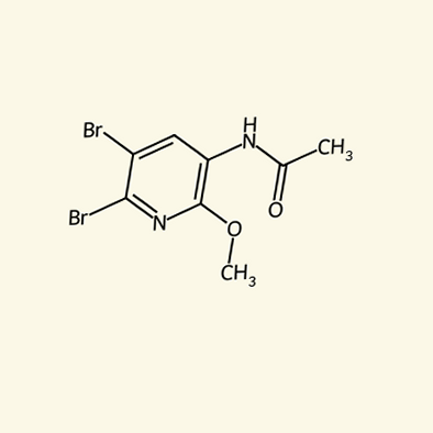 COc1nc(Br)c(Br)cc1NC(C)=O